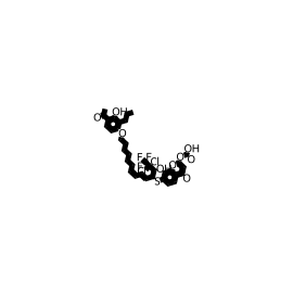 CCCc1c(OCCCCCC/C=C\C=C\[C@H](Sc2ccc3c(=O)cc(OC(=O)O)oc3c2)[C@@H](O)C(Cl)(Cl)C(F)(F)F)ccc(C(C)=O)c1O